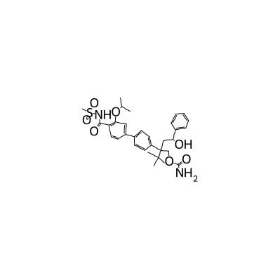 CC(C)Oc1cc(-c2ccc(C(COC(N)=O)(C[C@@H](O)c3ccccc3)C(C)(C)C)cc2)ccc1C(=O)NS(C)(=O)=O